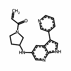 C=CC(=O)N1CCC(Nc2cnc3[nH]cc(-c4cccnc4)c3c2)C1